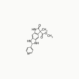 COC(=O)C1(C)C(=O)Nc2cc3c(cc21)NC(c1ccncc1)N3